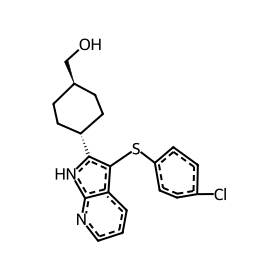 OC[C@H]1CC[C@H](c2[nH]c3ncccc3c2Sc2ccc(Cl)cc2)CC1